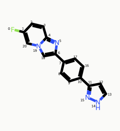 Fc1ccc2nc(-c3ccc(-c4cc[nH]n4)cc3)cn2c1